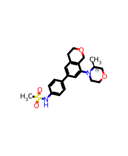 C[C@H]1COCCN1c1cc(-c2ccc(NS(C)(=O)=O)cc2)cc2c1COCC2